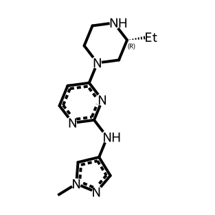 CC[C@@H]1CN(c2ccnc(Nc3cnn(C)c3)n2)CCN1